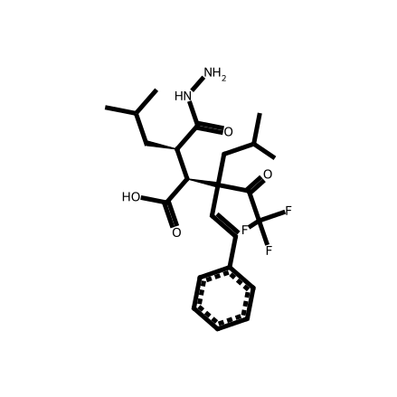 CC(C)C[C@@H](C(=O)NN)[C@H](C(=O)O)C(/C=C/c1ccccc1)(CC(C)C)C(=O)C(F)(F)F